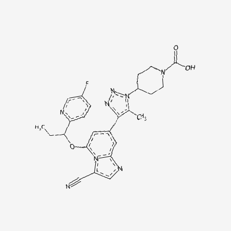 CCC(Oc1cc(-c2nnn(C3CCN(C(=O)O)CC3)c2C)cc2ncc(C#N)n12)c1ccc(F)cn1